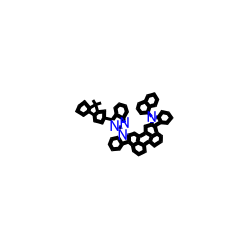 CC1(C)c2ccccc2-c2ccc(-c3nc(-n4c5ccccc5c5c6cccc7c8cccc9c8c(cc8c9c9ccccc9n8-c8cccc9ccccc89)c(cc54)c76)nc4ccccc34)cc21